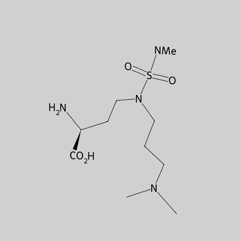 CNS(=O)(=O)N(CCCN(C)C)CC[C@H](N)C(=O)O